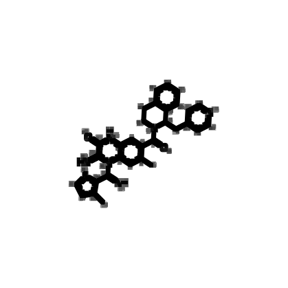 Cc1cc2c(cc1C(=O)N1CCc3ccccc3C1Cc1ccncc1)[nH]c(=O)c(=N)n2C(=N)c1sccc1C